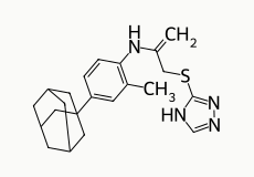 C=C(CSc1nnc[nH]1)Nc1ccc(C23CC4CC(CC(C4)C2)C3)cc1C